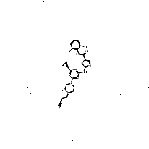 Cc1cccc(Cl)c1NC(=O)c1cnc(Nc2nc(C3CC3)nc(N3CCN(CCC#N)CC3)n2)s1